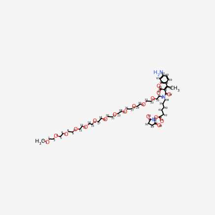 COCCOCCOCCOCCOCCOCCOCCOCCOCCOCCOCCOCCN(CCCCCC(=O)ON1C(=O)CCC1=O)C(=O)c1c(C)c2ccc(N)cc2oc1=O